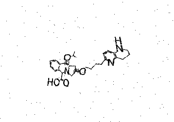 CC(C)O[C@@H](C)c1ccccc1C(C(=O)O)N1CC[C@@H](OCCCCc2ccc3c(n2)CCCN3)C1